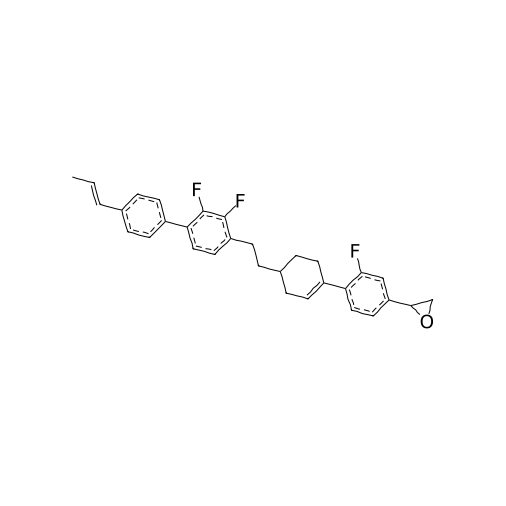 C/C=C/c1ccc(-c2ccc(CCC3CC=C(c4ccc(C5CO5)cc4F)CC3)c(F)c2F)cc1